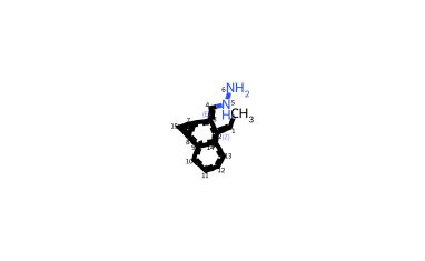 C/C=c1\c(=C/NN)c2c(c3ccccc13)=C=2